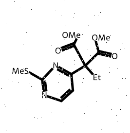 CCC(C(=O)OC)(C(=O)OC)c1ccnc(SC)n1